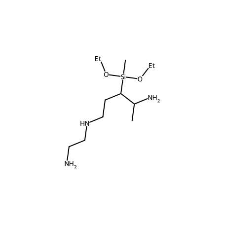 CCO[Si](C)(OCC)C(CCNCCN)C(C)N